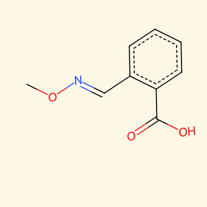 CON=Cc1ccccc1C(=O)O